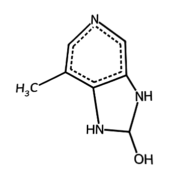 Cc1cncc2c1NC(O)N2